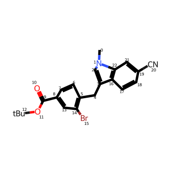 Cn1cc(Cc2ccc(C(=O)OC(C)(C)C)cc2Br)c2ccc(C#N)cc21